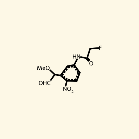 COC(C=O)c1cc(NC(=O)CF)ccc1[N+](=O)[O-]